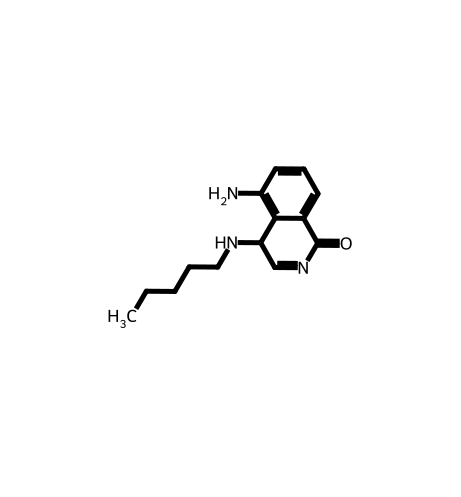 CCCCCNC1C=NC(=O)c2cccc(N)c21